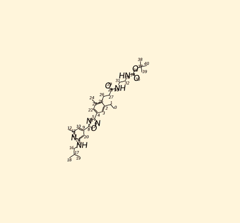 CCc1cc(-c2noc(-c3cc(C)nc(NCC(C)C)c3)n2)cc(C)c1CCC(=O)NCCNC(=O)OC(C)(C)C